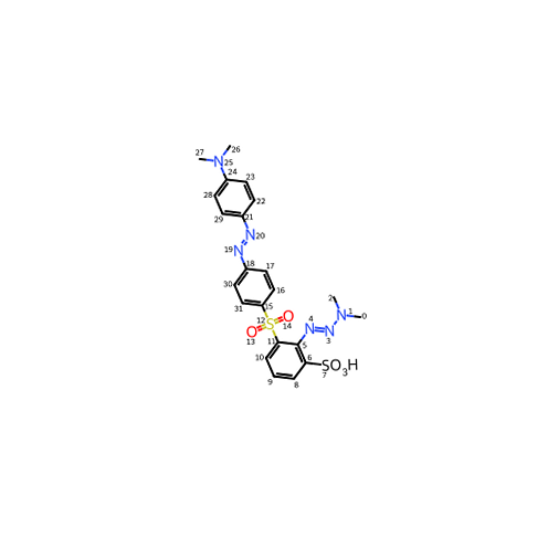 CN(C)N=Nc1c(S(=O)(=O)O)cccc1S(=O)(=O)c1ccc(N=Nc2ccc(N(C)C)cc2)cc1